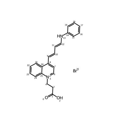 O=C(O)CC[n+]1ccc(/C=C/C=C/Nc2ccccc2)c2ccccc21.[Br-]